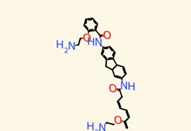 C=C(/C=C\C=C/CC(=O)NC1=CC2Cc3cc(NC(=O)c4ccccc4OCCN)ccc3C2C=C1)OCCN